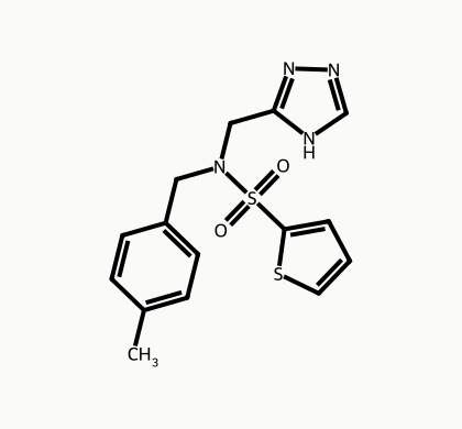 Cc1ccc(CN(Cc2nnc[nH]2)S(=O)(=O)c2cccs2)cc1